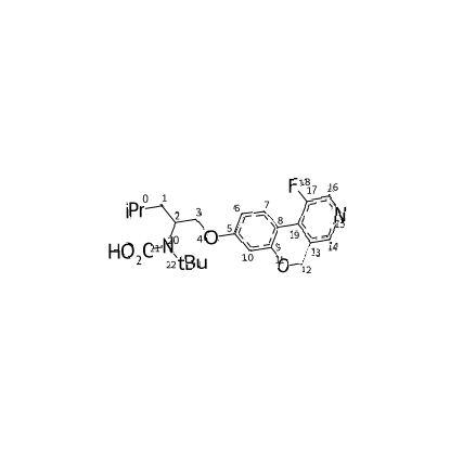 CC(C)CC(COc1ccc2c(c1)OCc1cncc(F)c1-2)N(C(=O)O)C(C)(C)C